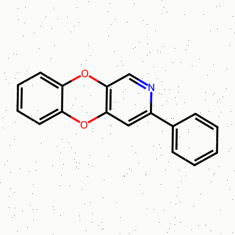 c1ccc(-c2cc3c(cn2)Oc2ccccc2O3)cc1